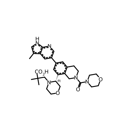 Cc1c[nH]c2ncc(-c3cc4c(c([C@@H]5COCCN5CC(C)(C)C(=O)O)c3)CN(C(=O)N3CCOCC3)CC4)cc12